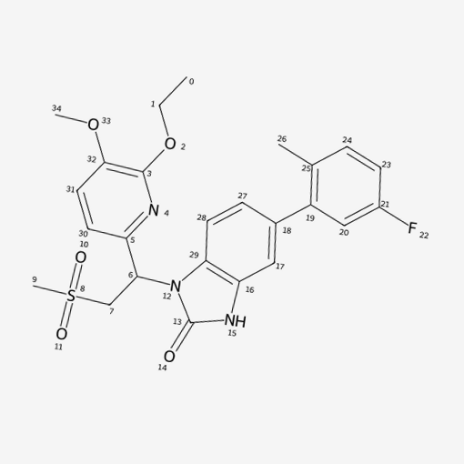 CCOc1nc(C(CS(C)(=O)=O)n2c(=O)[nH]c3cc(-c4cc(F)ccc4C)ccc32)ccc1OC